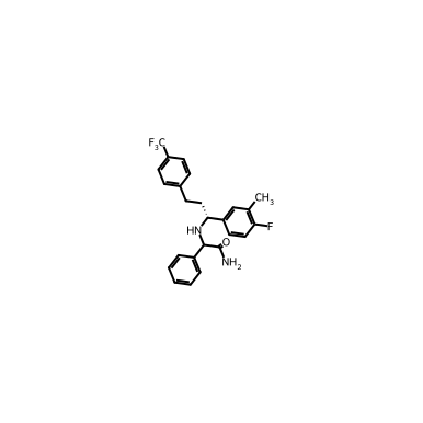 Cc1cc([C@@H](CCc2ccc(C(F)(F)F)cc2)NC(C(N)=O)c2ccccc2)ccc1F